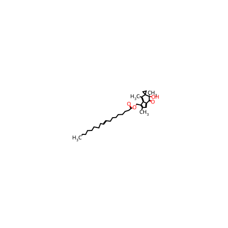 CCCCCCCC/C=C/CCCCCCCC(=O)OCC1=C(C)C=C2C(=O)[C@](C)(O)C3(CC3)C(C)=C21